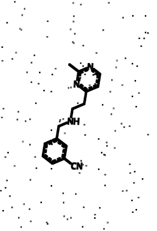 Cc1nccc(CCNCc2cccc(C#N)c2)n1